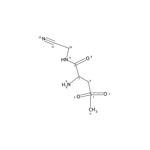 CS(=O)(=O)CC(N)C(=O)NCC#N